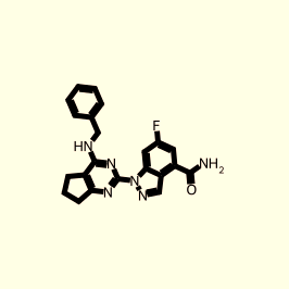 NC(=O)c1cc(F)cc2c1cnn2-c1nc2c(c(NCc3ccccc3)n1)CCC2